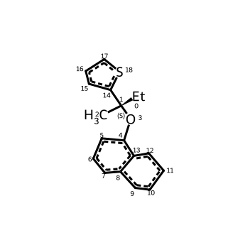 CC[C@](C)(Oc1cccc2ccccc12)c1cccs1